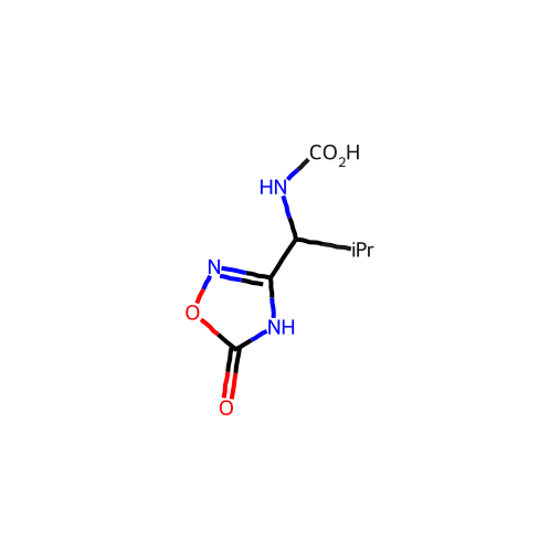 CC(C)C(NC(=O)O)c1noc(=O)[nH]1